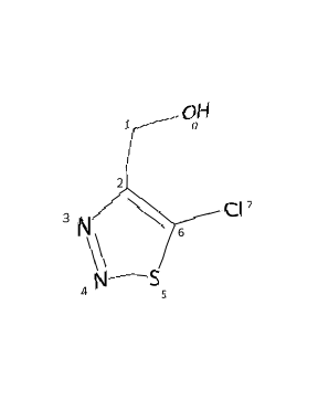 OCc1nnsc1Cl